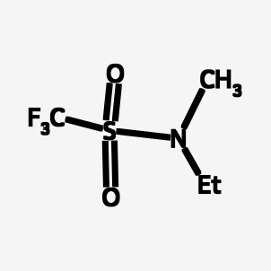 CCN(C)S(=O)(=O)C(F)(F)F